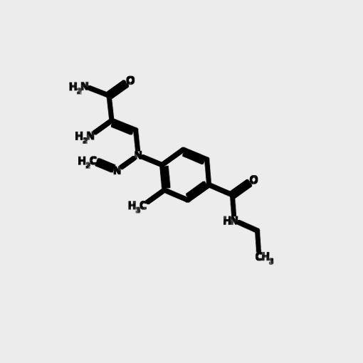 C=NN(/C=C(\N)C(N)=O)c1ccc(C(=O)NCC)cc1C